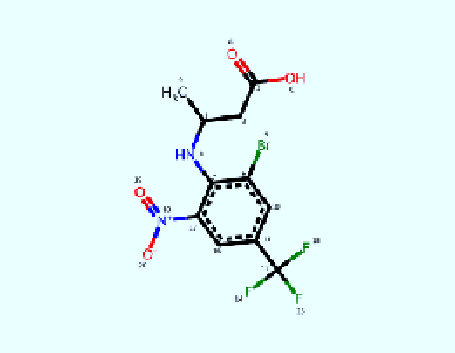 CC(CC(=O)O)Nc1c(Br)cc(C(F)(F)F)cc1[N+](=O)[O-]